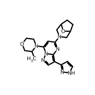 CC1COCCN1c1cc(N2CC3CCC(C2)O3)nc2c(-c3cc[nH]n3)cnn12